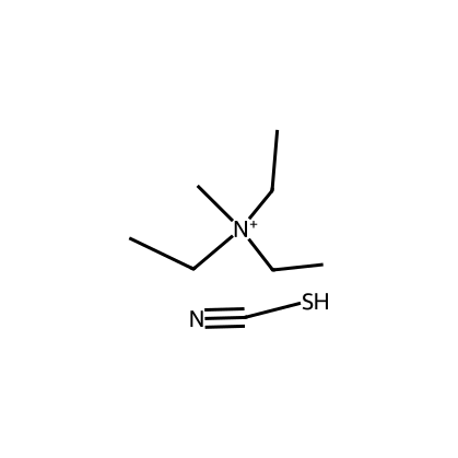 CC[N+](C)(CC)CC.N#CS